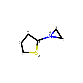 C1CSC(N2CC2)C1